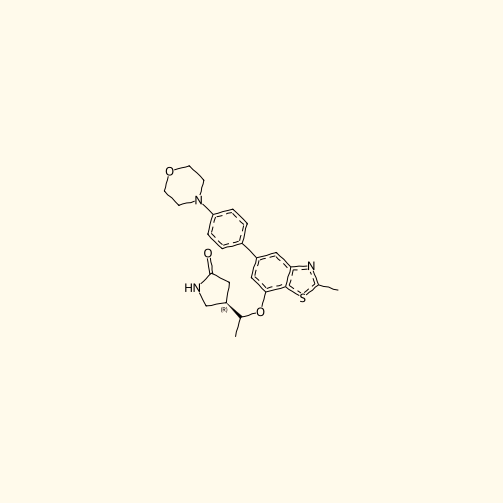 Cc1nc2cc(-c3ccc(N4CCOCC4)cc3)cc(OC(C)[C@H]3CNC(=O)C3)c2s1